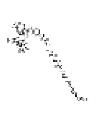 COCCOCCOCCOCCOCCOCCOCCOCCOc1ccc(CN2C[C@]3(CC[C@@](c4ccccc4)(N(C)C)CC3)N(CC3CCC3)C2=O)cc1